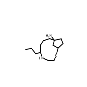 CCCC1CCCC2(N)CCC(CCCN1)C2